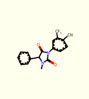 CN1C(=O)N(c2ccc(C#N)c(C(F)(F)F)c2)C(=O)C1c1cc[c]cc1